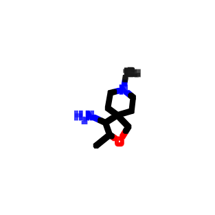 CC1OCC2(CCN(C(C)(C)C)CC2)C1N